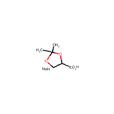 CC1(C)OCC(C(=O)O)O1.[NaH]